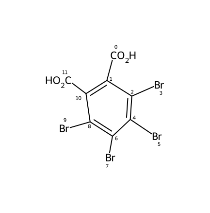 O=C(O)c1c(Br)c(Br)c(Br)c(Br)c1C(=O)O